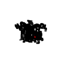 C=CC=CCCCC.C[Si](C)(C)P(=NC1=CC=CC1)([Si](C)(C)C)[Si](C)(C)C.[Ti]